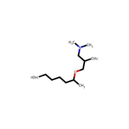 CCCCCCCCCCCCCCC(C)OCC(CN(C)C)OC(C)=O